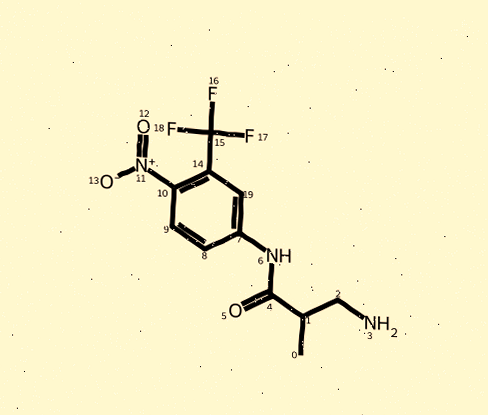 CC(CN)C(=O)Nc1ccc([N+](=O)[O-])c(C(F)(F)F)c1